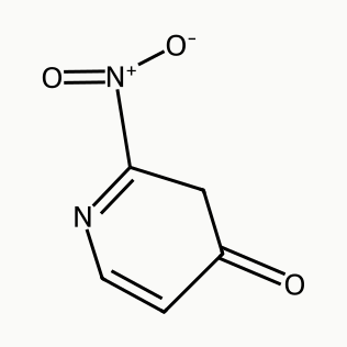 O=C1C=CN=C([N+](=O)[O-])C1